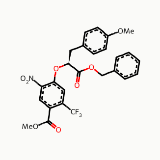 COC(=O)c1cc([N+](=O)[O-])c(O[C@@H](Cc2ccc(OC)cc2)C(=O)OCc2ccccc2)cc1C(F)(F)F